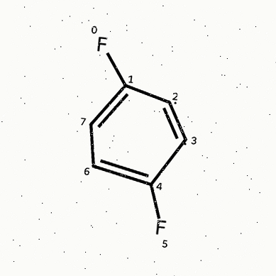 Fc1[c][c]c(F)cc1